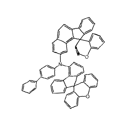 c1ccc(-c2ccc(N(c3ccc4ccc5c(c4c3)C3(c4ccccc4Oc4ccccc43)c3ccccc3-5)c3cccc4c3-c3ccccc3C43c4ccccc4Oc4ccccc43)cc2)cc1